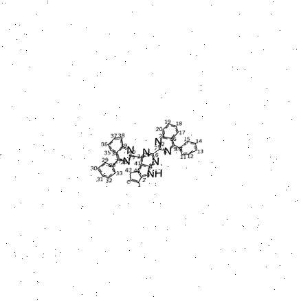 C1=Cc2[nH]c3nc(-c4nc(-c5ccccc5)c5ccccc5n4)nc(-c4nc(-c5ccccc5)c5ccccc5n4)c3c2C1